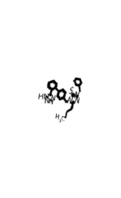 CCCCc1nn(Cc2ccccc2)c(=S)n1Cc1ccc(-c2ccccc2-c2nnn[nH]2)cc1